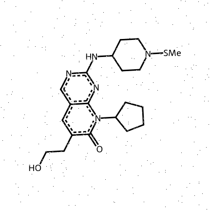 CSN1CCC(Nc2ncc3cc(CCO)c(=O)n(C4CCCC4)c3n2)CC1